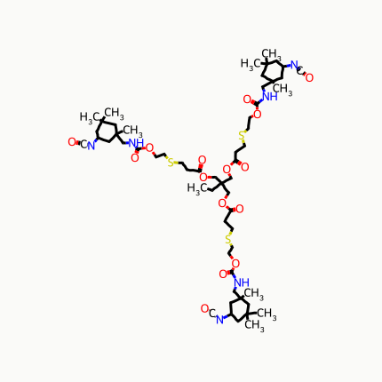 CCC(COC(=O)CCSCCOC(=O)NCC1(C)CC(N=C=O)CC(C)(C)C1)(COC(=O)CCSCCOC(=O)NCC1(C)CC(N=C=O)CC(C)(C)C1)COC(=O)CCSCCOC(=O)NCC1(C)CC(N=C=O)CC(C)(C)C1